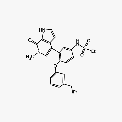 CCS(=O)(=O)Nc1ccc(Oc2cccc(CC(C)C)c2)c(-c2cn(C)c(=O)c3[nH]ccc23)c1